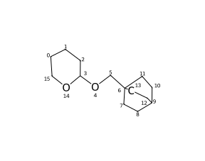 C1CCC(OCC23CCC(CC2)CC3)OC1